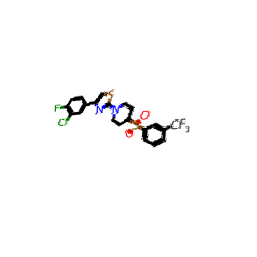 O=S(=O)(c1cccc(C(F)(F)F)c1)C1CCN(c2nc(-c3ccc(F)c(Cl)c3)cs2)CC1